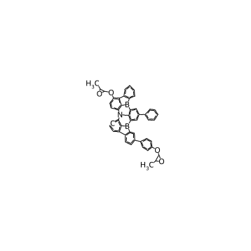 CC1OC1Oc1ccc(-c2ccc3c(c2)B2c4cc(-c5ccccc5)cc5c4N(c4cccc-3c42)c2ccc(OC3OC3C)c3c2B5c2ccccc2-3)cc1